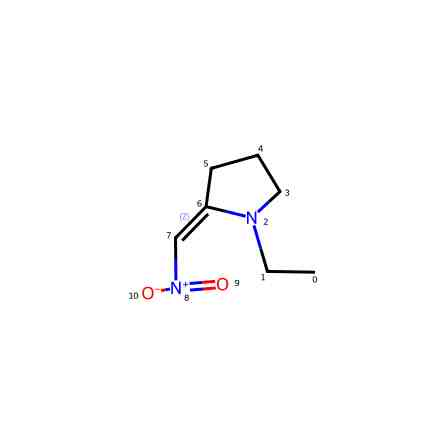 CCN1CCC/C1=C/[N+](=O)[O-]